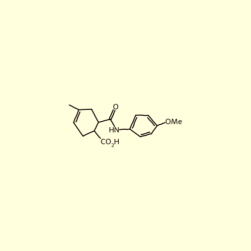 COc1ccc(NC(=O)C2CC(C)=CCC2C(=O)O)cc1